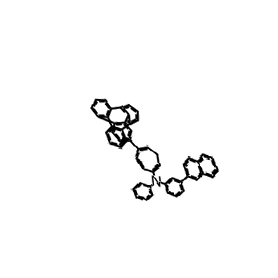 C1=CC(N(c2ccccc2)c2cccc(-c3ccc4ccccc4c3)c2)=CCC=C1c1ccc2c(c1)-c1c3cccc1-c1cccc-2c1-c1ccccc1-3